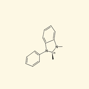 C[C@@H]1N(C)c2ccccc2N1c1ccccc1